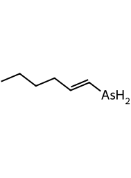 CCCCC=C[AsH2]